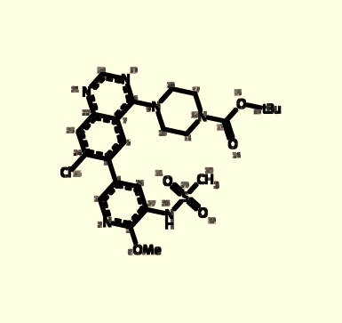 COc1ncc(-c2cc3c(N4CCN(C(=O)OC(C)(C)C)CC4)ncnc3cc2Cl)cc1NS(C)(=O)=O